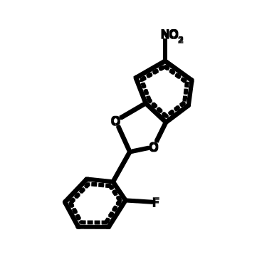 O=[N+]([O-])c1ccc2c(c1)OC(c1ccccc1F)O2